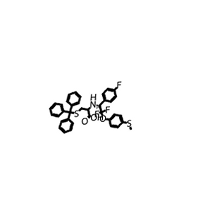 CSc1ccc(OC(F)(F)[C@H](NC(CSC(c2ccccc2)(c2ccccc2)c2ccccc2)C(=O)O)c2ccc(F)cc2)cc1